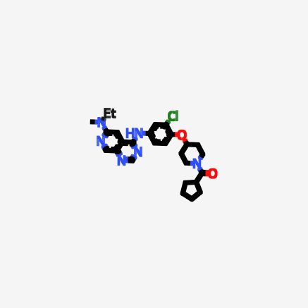 CCN(C)c1cc2c(Nc3ccc(OC4CCN(C(=O)C5CCCC5)CC4)c(Cl)c3)ncnc2cn1